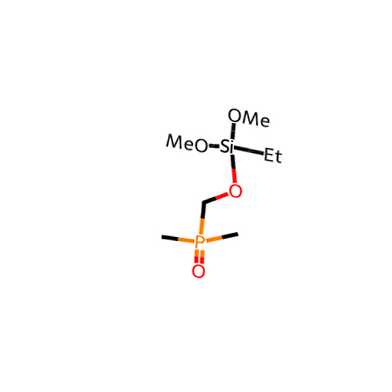 CC[Si](OC)(OC)OCP(C)(C)=O